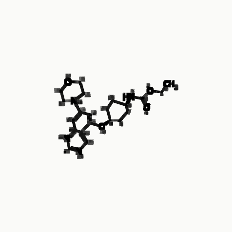 CCOC(=O)N[C@H]1CC[C@@H](Oc2cc(N3CCOCC3)cc3ncncc23)CC1